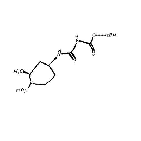 C[C@H]1C[C@@H](NC(=S)NC(=O)OC(C)(C)C)CCN1C(=O)O